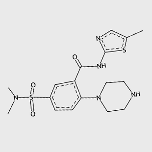 Cc1cnc(NC(=O)c2cc(S(=O)(=O)N(C)C)ccc2N2CCNCC2)s1